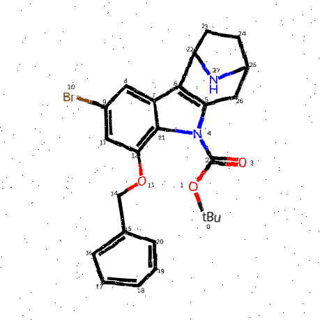 CC(C)(C)OC(=O)n1c2c(c3cc(Br)cc(OCc4ccccc4)c31)C1CCC(C2)N1